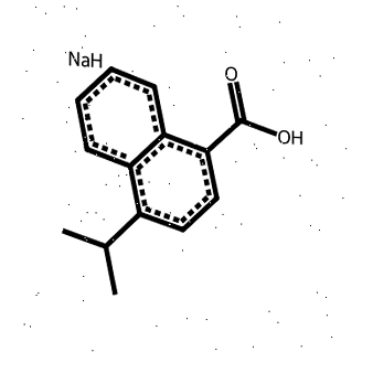 CC(C)c1ccc(C(=O)O)c2ccccc12.[NaH]